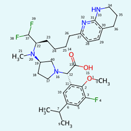 COc1c(F)cc(C(C)C)cc1[C@@H](C(=O)O)N1CC[C@@H](N(C)[C@H](CCCCc2ccc3c(n2)NCCC3)C(F)F)C1